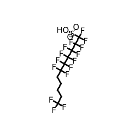 O=S(=O)(O)C(F)(F)C(F)(F)C(F)(F)C(F)(F)C(F)(F)C(F)(F)CCCCC(F)(F)F